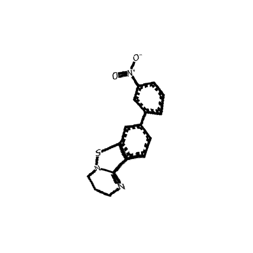 O=[N+]([O-])c1cccc(-c2ccc3c(c2)SN2CCCN=C32)c1